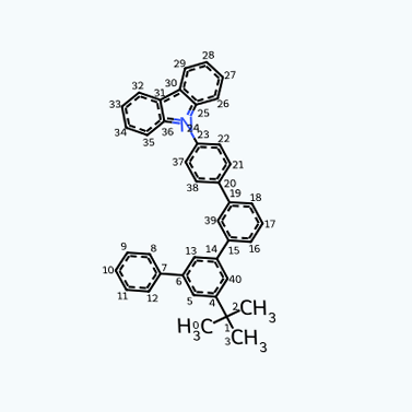 CC(C)(C)c1cc(-c2ccccc2)cc(-c2cccc(-c3ccc(-n4c5ccccc5c5ccccc54)cc3)c2)c1